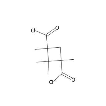 CC1(C(=O)Cl)CC(C)(C(=O)Cl)C1(C)C